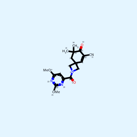 COc1cc(C(=O)N2CC3(C=C(C#N)C(=O)C(C)(C)C3)C2)nc(OC)n1